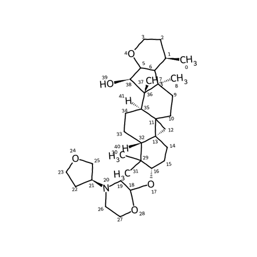 C[C@@H]1CCOC2C1[C@@]1(C)CCC34C[C@@]35CC[C@H](OC3CN([C@H]6CCOC6)CCO3)C(C)(C)[C@@H]5CC[C@H]4[C@]1(C)[C@H]2O